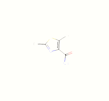 CCc1nc(C(N)=O)c(CC)s1